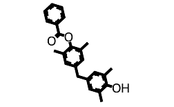 Cc1cc(Cc2cc(C)c(OC(=O)c3ccccc3)c(C)c2)cc(C)c1O